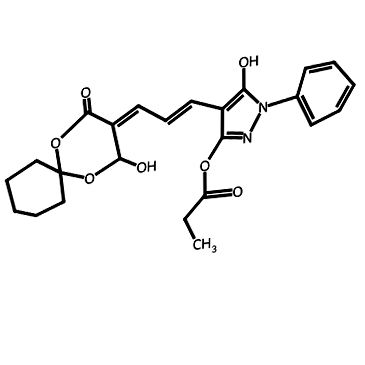 CCC(=O)Oc1nn(-c2ccccc2)c(O)c1/C=C/C=C1/C(=O)OC2(CCCCC2)OC1O